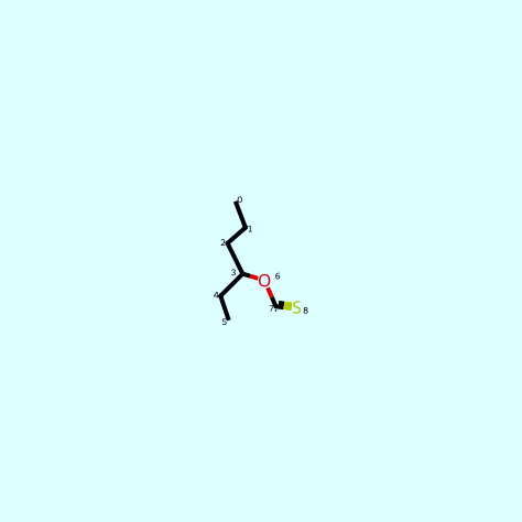 CCCC(CC)O[C]=S